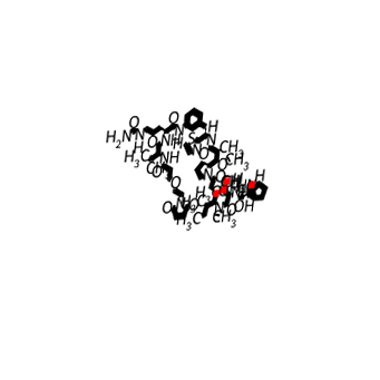 CC[C@H](C)[C@@H]([C@@H](CC(=O)N1CCC[C@H]1[C@H](OC)[C@@H](C)C(=O)N[C@@H](Cc1cccc(NC(=O)[C@H](CCCNC(N)=O)NC(=O)[C@@H](NC(=O)CCOCCN2C(=O)C=CC2=O)C(C)C)c1)c1nccs1)OC)N(C)C(=O)[C@@H](NC(=O)[C@H]1N[C@H]2CC[C@H]1[C@@H]2C)C(C)C